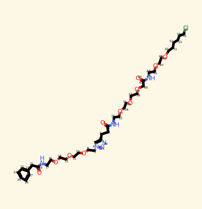 O=C(CCc1cn(CCOCCOCCOCCNC(=O)Cc2ccccc2)nn1)NCCOCCOCCOCC(=O)NCCOCCOCCCCCCCl